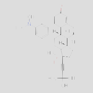 CN(C)c1ccc([C@H]2C[C@@]3(C)[C@@H](CC[C@@]3(O)C#CC(C)(C)C)[C@@H]3CCC4=CC(=O)CC[C@]4(C)[C@H]32)cc1